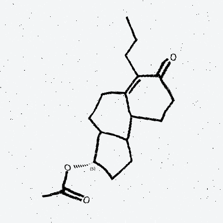 CCCC1=C2CCC3C(CC[C@@H]3OC(C)=O)C2CCC1=O